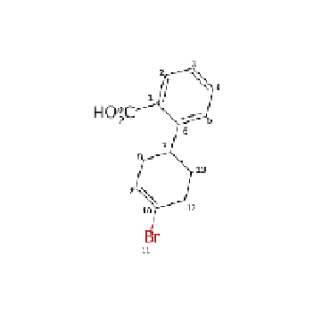 O=C(O)c1ccccc1C1CC=C(Br)CC1